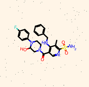 Cc1c(S(N)(=O)=O)ncc(C(=O)N2CCN(c3ccc(F)cc3)C(O)C2)c1NCc1ccccc1